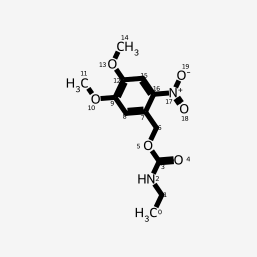 CCNC(=O)OCc1cc(OC)c(OC)cc1[N+](=O)[O-]